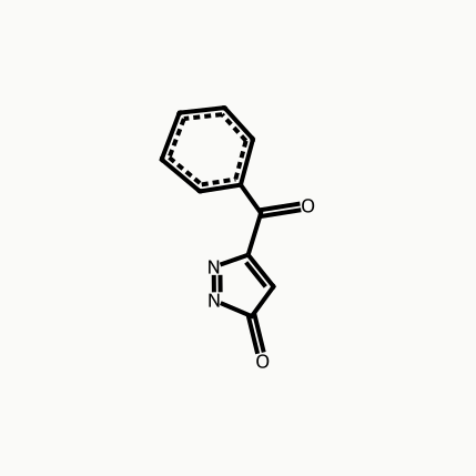 O=C1C=C(C(=O)c2ccccc2)N=N1